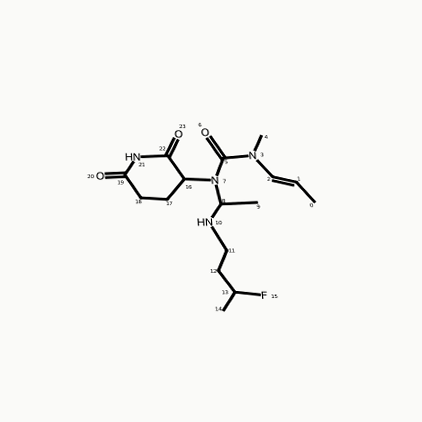 C/C=C/N(C)C(=O)N(C(C)NCCC(C)F)C1CCC(=O)NC1=O